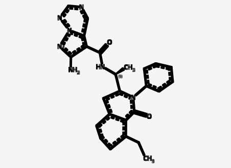 CCc1cccc2cc([C@H](C)NC(=O)c3c(N)nn4ncncc34)n(-c3ccccc3)c(=O)c12